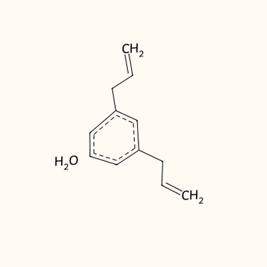 C=CCc1cccc(CC=C)c1.O